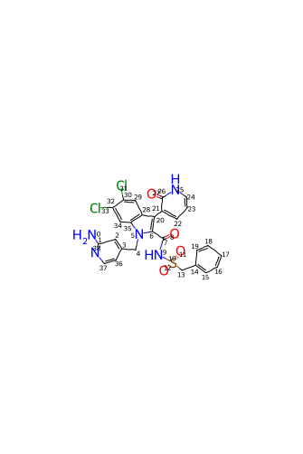 Nc1cc(Cn2c(C(=O)NS(=O)(=O)Cc3ccccc3)c(-c3ccc[nH]c3=O)c3cc(Cl)c(Cl)cc32)ccn1